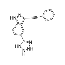 C(#Cc1n[nH]c2ccc(C3=NNNN3)cc12)c1ccccc1